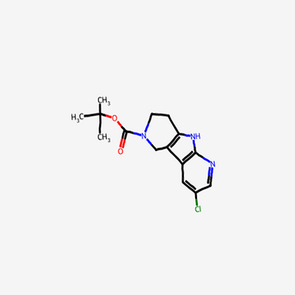 CC(C)(C)OC(=O)N1CCc2[nH]c3ncc(Cl)cc3c2C1